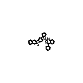 c1ccc(-c2nc(-n3c4ccccc4c4cc5c(cc43)sc3cc4ccccc4cc35)nc3ccccc23)cc1